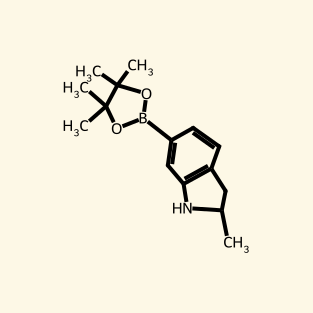 CC1Cc2ccc(B3OC(C)(C)C(C)(C)O3)cc2N1